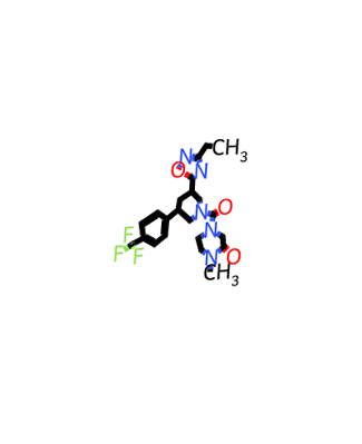 CCc1noc(C2CC(c3ccc(C(F)(F)F)cc3)CN(C(=O)N3CCN(C)C(=O)C3)C2)n1